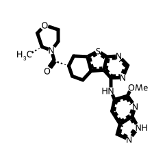 COc1nc2[nH]ncc2cc1Nc1ncnc2sc3c(c12)CC[C@H](C(=O)N1CCOC[C@H]1C)C3